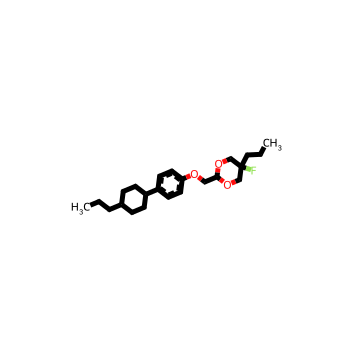 CCCC1CCC(c2ccc(OCC3OCC(F)(CCC)CO3)cc2)CC1